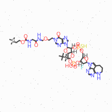 CC(C)(C)[Si](C)(C)CO[C@H]1[C@H]2OP(=O)(S)OC[C@H]3O[C@@H](n4cc5c6c(ncnc64)NCCC5)[C@H](F)[C@@H]3OP(=O)(O)OC[C@H]1O[C@H]2n1cnc2c(=O)n(CCOCNC(=O)CNC(=O)OCC[Si](C)(C)C)cnc21